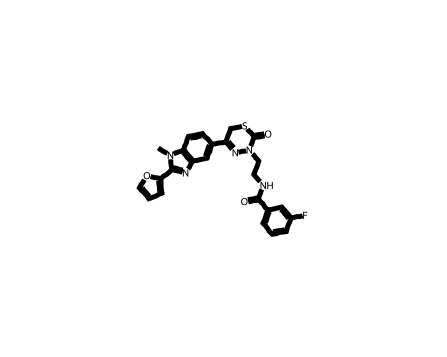 Cn1c(-c2ccco2)nc2cc(C3=NN(CCNC(=O)c4cccc(F)c4)C(=O)SC3)ccc21